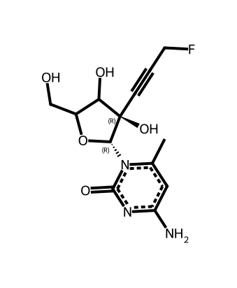 Cc1cc(N)nc(=O)n1[C@@H]1OC(CO)C(O)[C@]1(O)C#CCF